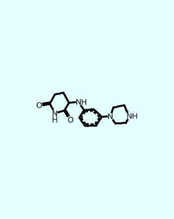 O=C1CCC(Nc2cccc(N3CCNCC3)c2)C(=O)N1